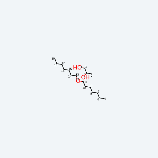 CC(O)CO.CCCCCCCOCCCCCCC